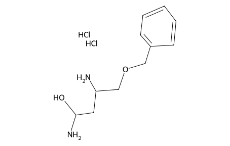 Cl.Cl.NC(O)CC(N)COCc1ccccc1